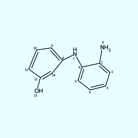 Nc1ccccc1Nc1cccc(O)c1